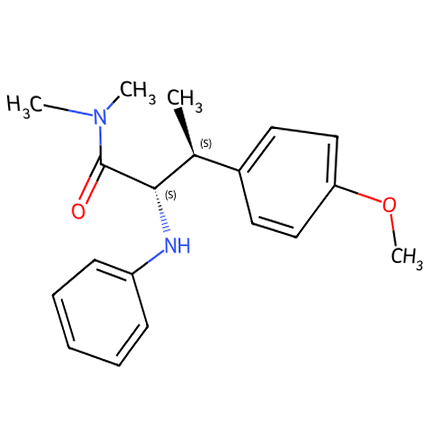 COc1ccc([C@H](C)[C@H](Nc2ccccc2)C(=O)N(C)C)cc1